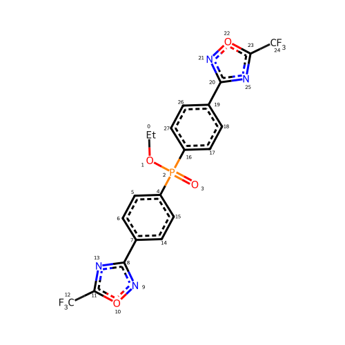 CCOP(=O)(c1ccc(-c2noc(C(F)(F)F)n2)cc1)c1ccc(-c2noc(C(F)(F)F)n2)cc1